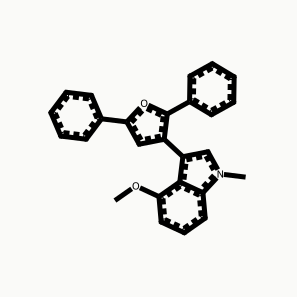 COc1cccc2c1c(-c1cc(-c3ccccc3)oc1-c1ccccc1)cn2C